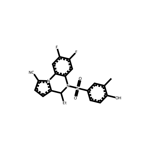 CCC1c2ccc(C#N)n2-c2cc(F)c(F)cc2N1S(=O)(=O)c1ccc(O)c(C)c1